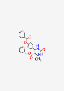 CC1=C(C(=O)OCc2ccccc2)C(c2ccc(OC(=O)c3ccccc3)cc2)NC(=O)N1